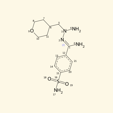 N/C(=N\N(N)CC1CCOCC1)c1ccc(S(N)(=O)=O)cc1